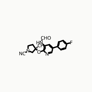 C[C@]1(Oc2ncc(-c3ccc(F)cc3)cc2NC=O)CCN(C#N)C1